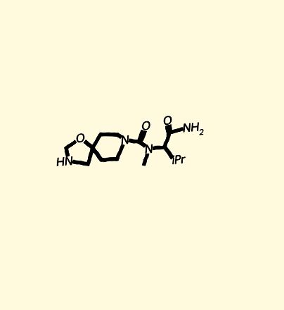 CC(C)C(C(N)=O)N(C)C(=O)N1CCC2(CC1)CNCO2